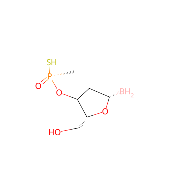 B[C@H]1CC(O[P@@](C)(=O)S)[C@@H](CO)O1